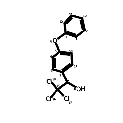 OC(c1ccc(Oc2ccccc2)cc1)C(Cl)(Cl)Cl